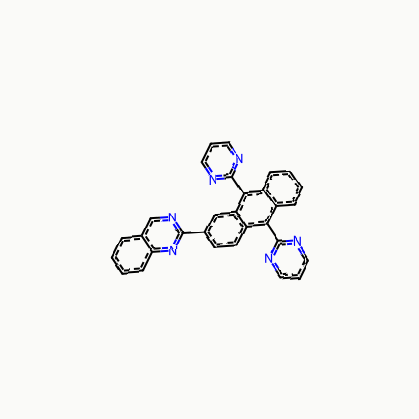 c1cnc(-c2c3ccccc3c(-c3ncccn3)c3cc(-c4ncc5ccccc5n4)ccc23)nc1